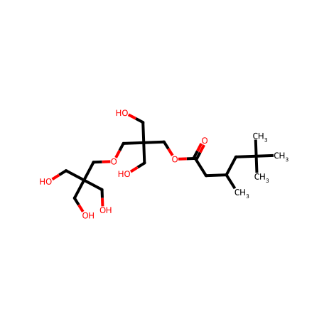 CC(CC(=O)OCC(CO)(CO)COCC(CO)(CO)CO)CC(C)(C)C